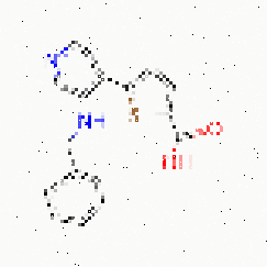 O=C(O)c1ccc(-c2ccncc2NCc2ccccc2)s1